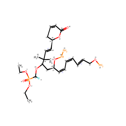 CCOP(=O)(OCC)C(F)OC(C[C@H](\C=C/C=C\C=C\COP)OPP)C(C)(C)/C=C/[C@H]1CC=CC(=O)O1